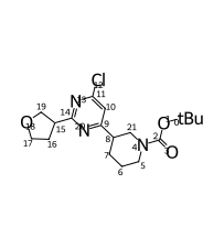 CC(C)(C)OC(=O)N1CCCC(c2cc(Cl)nc(C3CCOC3)n2)C1